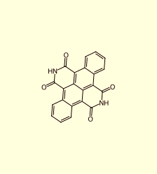 O=C1NC(=O)c2c3ccccc3c3c4c(c5ccccc5c1c24)C(=O)NC3=O